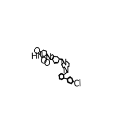 O=C1CCC(N2CC3=C(C=CC(=CN4CCCN(Cc5ccccc5-c5ccc(Cl)cc5)CC4)C3)C2=O)C(=O)N1